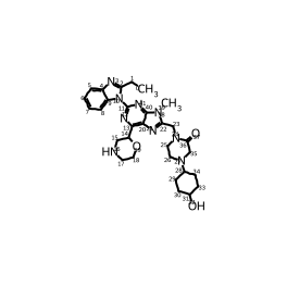 CCc1nc2ccccc2n1-c1nc(C2CNCCO2)c2nc(CN3CCN(C4CCC(O)CC4)CC3=O)n(C)c2n1